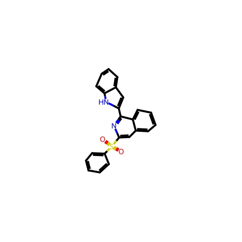 O=S(=O)(c1ccccc1)c1cc2ccccc2c(-c2cc3ccccc3[nH]2)n1